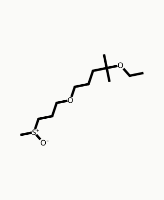 CCOC(C)(C)CCCOCCC[S+](C)[O-]